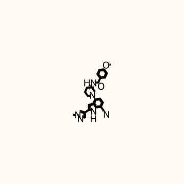 COc1ccc(C(=O)N[C@@H]2CCCN(c3ccc(C#N)c4[nH]c(-c5cnn(C)c5)cc34)C2)cc1